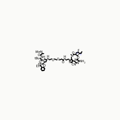 C/C=C\C(F)=C/C1C(=O)N(C)Cc2c(c(C#N)nn2CCNC(=O)CCOCCOCCN[C@H]2C[C@@H](C(=O)N[C@H](CC)c3ccccc3)N(C(=O)[C@@H](NC(=O)[C@H](C)NC)C(C)(C)C)C2)-c2cnc(N)c(n2)O[C@@H]1C